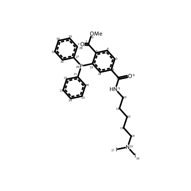 COC(=O)c1ccc(C(=O)NCCCCCN(I)I)cc1P(c1ccccc1)c1ccccc1